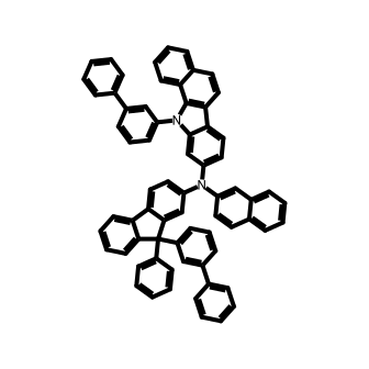 c1ccc(-c2cccc(-n3c4cc(N(c5ccc6c(c5)C(c5ccccc5)(c5cccc(-c7ccccc7)c5)c5ccccc5-6)c5ccc6ccccc6c5)ccc4c4ccc5ccccc5c43)c2)cc1